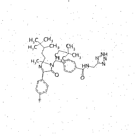 CC(CCC1(C)N=C(c2ccc(F)cc2)C(=O)N1[C@H](CCC(C)(C)C)c1ccc(C(=O)NCc2nn[nH]n2)cc1)C(C)(C)C